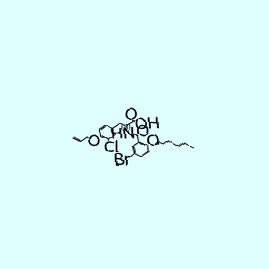 C=CCOc1ccc(C[C@H](NC(=O)c2cc(Br)ccc2OCCCCC)C(=O)O)cc1Cl